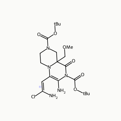 COCC12CN(C(=O)OC(C)(C)C)CCN1C(/C=C(\N)Cl)=C(N)N(C(=O)OC(C)(C)C)C2=O